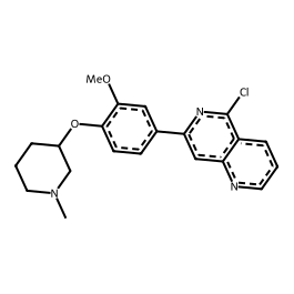 COc1cc(-c2cc3ncccc3c(Cl)n2)ccc1OC1CCCN(C)C1